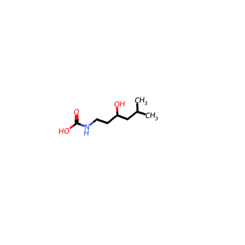 CC(C)CC(O)CCNC(=O)O